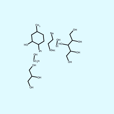 CC1CCC(C(C)C)C(O)C1.CCCCCCCCCCC[CH2][Na].CCO.O=S(=O)(O)O.OCC(O)C(O)C(O)CO.OCC(O)CO